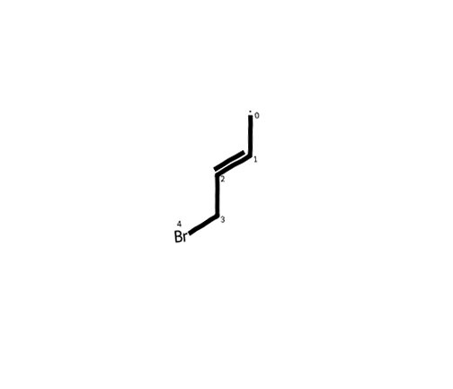 [CH2]/C=C/CBr